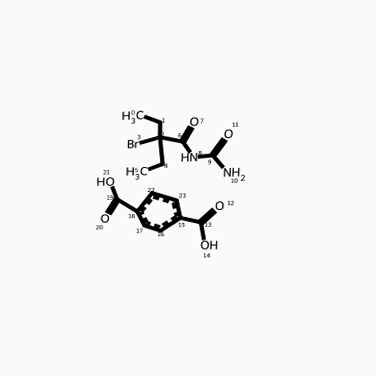 CCC(Br)(CC)C(=O)NC(N)=O.O=C(O)c1ccc(C(=O)O)cc1